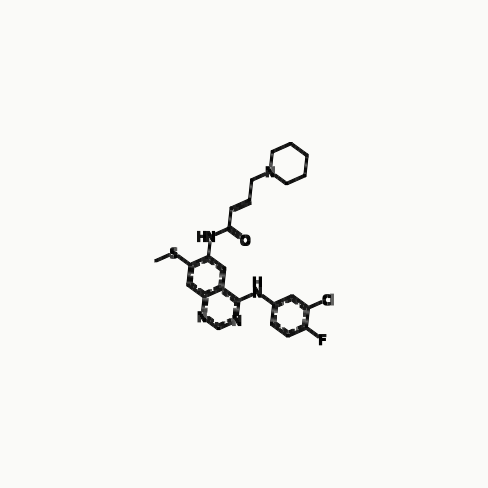 CSc1cc2ncnc(Nc3ccc(F)c(Cl)c3)c2cc1NC(=O)C=CCN1CCCCC1